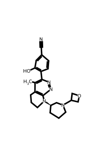 Cc1c(-c2ccc(C#N)cc2O)nnc2c1CCCN2[C@@H]1CCCN(C2COC2)C1